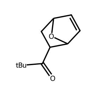 CC(C)(C)C(=O)C1CC2C=CC1O2